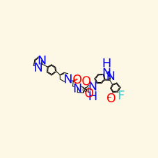 COc1cc(-c2n[nH]c3ccc(NC(=O)[C@]4(OC)CCN(CC(=O)N5CC=C(c6ccc(-c7ncccn7)cc6)CC5)C4)cc23)ccc1F